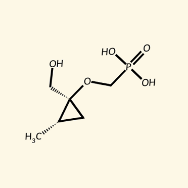 C[C@H]1C[C@]1(CO)OCP(=O)(O)O